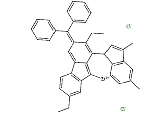 CCc1ccc2c(c1)[C]([Zr+2])=c1c-2cc(=C(c2ccccc2)c2ccccc2)c(CC)c1C1C=C(C)c2cc(C)ccc21.[Cl-].[Cl-]